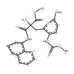 CCCOC(=O)C(C)(Cc1cc(OC)ccc1NC(=O)OC(C)(C)C)C(=O)Nc1cccc2cccnc12